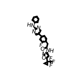 O=C(Cc1ccc(-c2cnc(Nc3ccccc3)nc2)cc1F)Nc1cc(C2(C(F)(F)F)CC2)on1